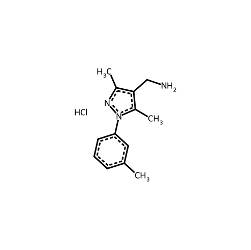 Cc1cccc(-n2nc(C)c(CN)c2C)c1.Cl